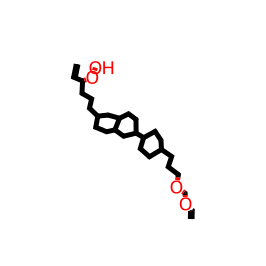 C=COCOCCCC1CCC(C2CCC3CC(CCCC(C=C)OO)CCC3C2)CC1